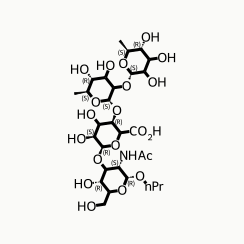 CCCO[C@@H]1OC(CO)[C@H](O)C(O[C@@H]2OC(C(=O)O)[C@H](O[C@@H]3O[C@@H](C)[C@H](O)C(O)C3O[C@@H]3O[C@@H](C)[C@H](O)C(O)C3O)C(O)[C@@H]2O)[C@@H]1NC(C)=O